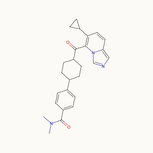 CN(C)C(=O)c1ccc(C2CCC(C(=O)c3c(C4CC4)ccc4cncn34)CC2)cc1